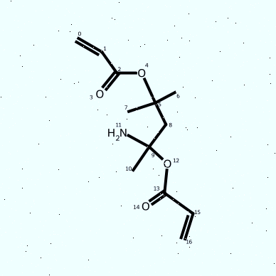 C=CC(=O)OC(C)(C)CC(C)(N)OC(=O)C=C